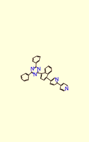 c1ccc(-c2nc(-c3ccccc3)nc(-c3ccc(-c4ccc(-c5ccncc5)nc4)c4ccccc34)n2)cc1